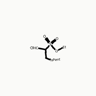 CCCCCCC([C]=O)S(=O)(=O)OCC